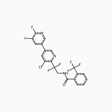 O=C(NCC(F)(F)c1ncc(-c2cnc(F)c(F)c2)cc1Cl)c1ccccc1C(F)(F)F